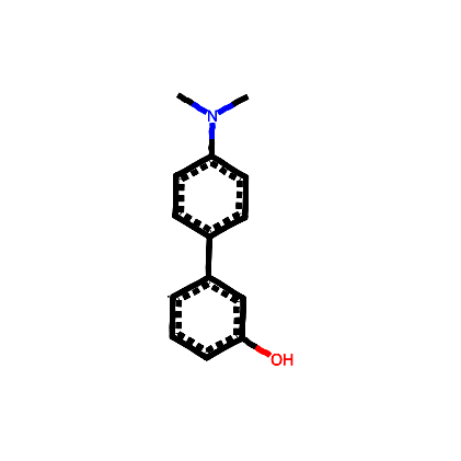 CN(C)c1ccc(-c2[c]ccc(O)c2)cc1